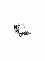 Cc1ncc(N)cc1-n1cc(-c2cncc(N3CCN(CC(C)C)CC3)c2)nn1